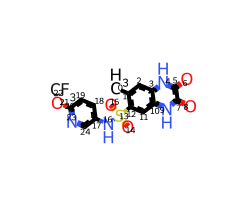 Cc1cc2[nH]c(=O)c(=O)[nH]c2cc1S(=O)(=O)Nc1ccc(OC(F)(F)F)nc1